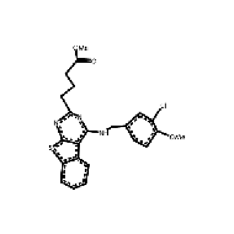 COC(=O)CCCc1nc(NCc2ccc(OC)c(Cl)c2)c2c(n1)sc1ccccc12